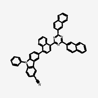 N#Cc1ccc2c(c1)c1cc(-c3ccc(-c4nc(-c5ccc6ccccc6c5)nc(-c5ccc6ccccc6c5)n4)c4ccccc34)ccc1n2-c1ccccc1